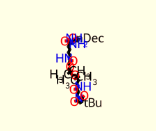 CCCCCCCCCCCC(=O)NC(CCCCNC(=O)COCC(C)(C)COC(C)(C)CCNC(=O)CCN1C(=O)CC(C(C)(C)C)C1=O)C(N)=O